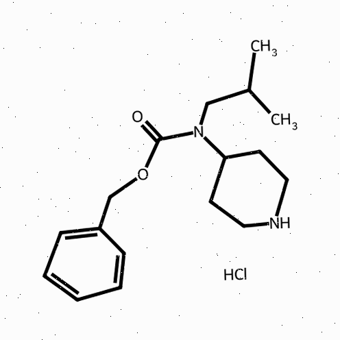 CC(C)CN(C(=O)OCc1ccccc1)C1CCNCC1.Cl